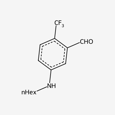 CCCCCCNc1ccc(C(F)(F)F)c(C=O)c1